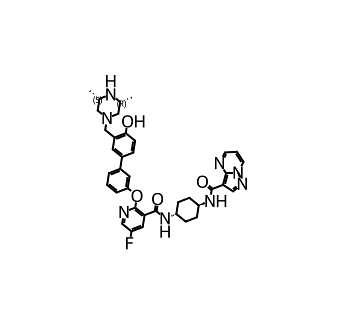 C[C@@H]1CN(Cc2cc(-c3cccc(Oc4ncc(F)cc4C(=O)N[C@H]4CC[C@H](NC(=O)c5cnn6cccnc56)CC4)c3)ccc2O)C[C@H](C)N1